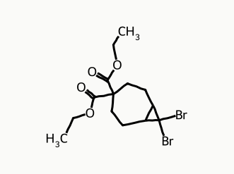 CCOC(=O)C1(C(=O)OCC)CCC2C(CC1)C2(Br)Br